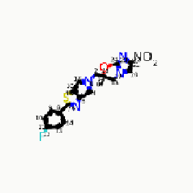 C[C@]1(Cn2cc3nc(-c4ccc(F)cc4)sc3c2)Cn2cc([N+](=O)[O-])nc2O1